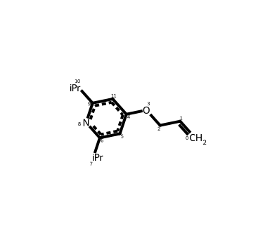 C=CCOc1cc(C(C)C)nc(C(C)C)c1